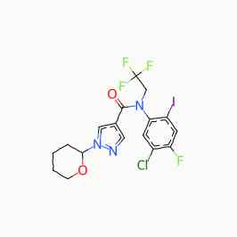 O=C(c1cnn(C2CCCCO2)c1)N(CC(F)(F)F)c1cc(Cl)c(F)cc1I